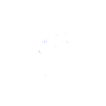 C1=CC2c3ccc4c(c3N(c3nc(-c5ccccc5)nc(-c5ccccc5)n3)C2C=C1)C(c1cc(N(c2ccccc2)c2ccccc2)cc(N(c2ccccc2)c2ccccc2)c1)(c1cc(N(c2ccccc2)c2ccccc2)cc(N(c2ccccc2)c2ccccc2)c1)c1ccccc1-4